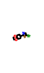 Brc1cnc(C2=CCC3(CC2)OCCO3)s1